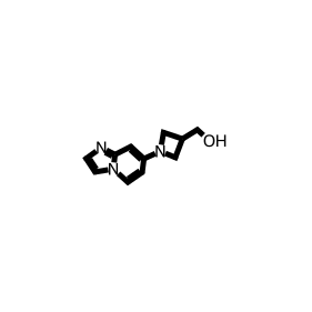 OCC1CN(c2ccn3ccnc3c2)C1